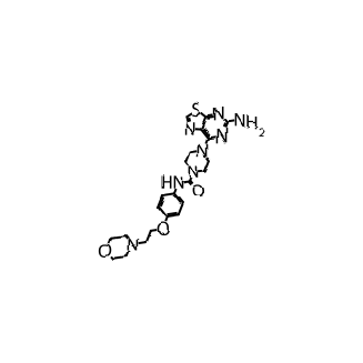 Nc1nc(N2CCN(C(=O)Nc3ccc(OCCN4CCOCC4)cc3)CC2)c2ncsc2n1